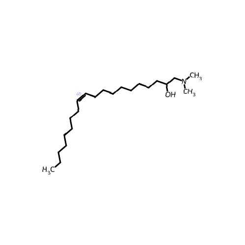 CCCCCCCC/C=C\CCCCCCCCC(O)CN(C)C